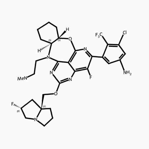 CNCCN1c2nc(OC[C@@]34CCCN3C[C@H](F)C4)nc3c(F)c(-c4cc(N)cc(Cl)c4C(F)(F)F)nc(c23)O[C@H]2CCCC[C@@H]21